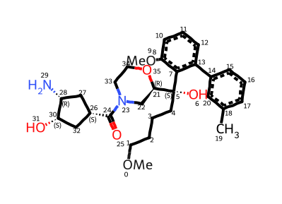 COCCCC[C@](O)(c1c(OC)cccc1-c1cccc(C)c1)[C@H]1CN(C(=O)[C@H]2C[C@@H](N)[C@@H](O)C2)CCO1